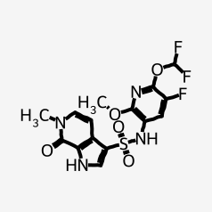 COc1nc(OC(F)F)c(F)cc1NS(=O)(=O)c1c[nH]c2c(=O)n(C)ccc12